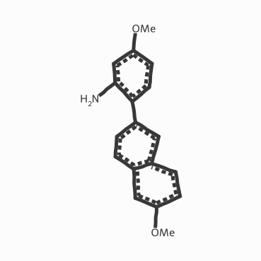 COc1ccc(-c2ccc3cc(OC)ccc3c2)c(N)c1